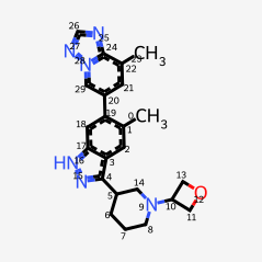 Cc1cc2c(C3CCCN(C4COC4)C3)n[nH]c2cc1-c1cc(C)c2ncnn2c1